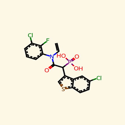 C=CN(C(=O)C(c1csc2ccc(Cl)cc12)P(=O)(O)O)c1cccc(Cl)c1F